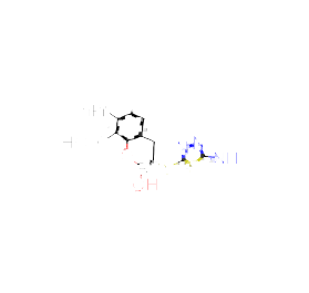 CCCc1ccc2c(c1C(=O)O)OB(O)[C@@H](Sc1nnc(N)s1)C2